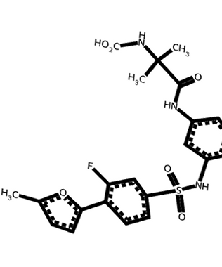 Cc1ccc(-c2ccc(S(=O)(=O)Nc3cccc(NC(=O)C(C)(C)NC(=O)O)c3)cc2F)o1